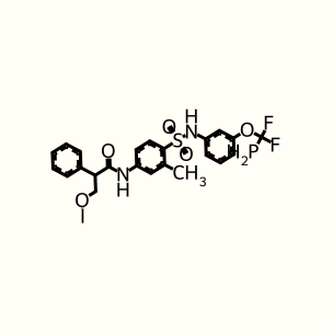 Cc1cc(NC(=O)C(COI)c2ccccc2)ccc1S(=O)(=O)Nc1cccc(OC(F)(F)P)c1